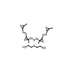 CC1SC1SSC1SC1(C)[Se]S[Se]C1(C)SC1SSC1SC1C.SCCSCCS